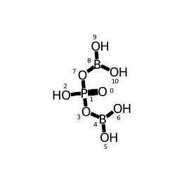 O=P(O)(OB(O)O)OB(O)O